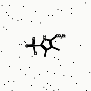 CCOC(=O)c1[nH]c(S(=O)(=O)Cl)c(C)c1C